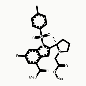 COC(=O)c1cc(F)cc2c1cc([C@@]1(C)CCCN1CC(=O)OC(C)(C)C)n2S(=O)(=O)c1ccc(C)cc1